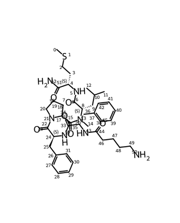 CSCC[C@H](NC(=O)[C@H](CC(C)C)N(C)C(=O)[C@@H]1CCCN1C(=O)[C@H](Cc1ccccc1)NC(=O)[C@H](Cc1ccccc1)NC(=O)CCCCN)C(N)=O